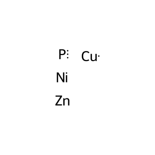 [Cu].[Ni].[P].[Zn]